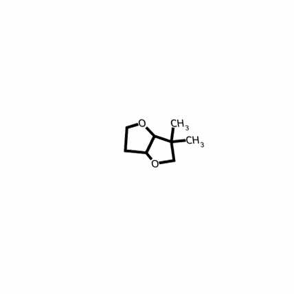 CC1(C)COC2CCOC21